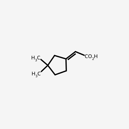 CC1(C)CC/C(=C\C(=O)O)C1